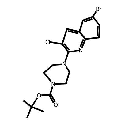 CC(C)(C)OC(=O)N1CCN(c2nc3ccc(Br)cc3cc2Cl)CC1